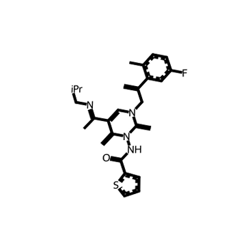 C=C(CN1C=C(/C(C)=N/CC(C)C)C(=C)N(NC(=O)c2cccs2)C1=C)c1cc(F)ccc1C